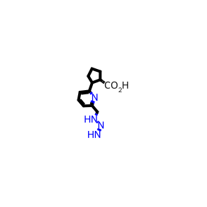 N=NNCc1cccc(C2CCCC2C(=O)O)n1